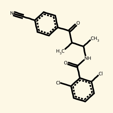 CC(NC(=O)c1c(Cl)cccc1Cl)C(C)C(=O)c1ccc(C#N)cc1